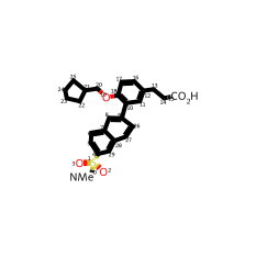 CNS(=O)(=O)c1ccc2cc(-c3cc(CCC(=O)O)ccc3OCC3CCCC3)ccc2c1